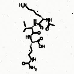 CC(=O)N[C@@H](CCCCN)C(=O)N[C@H](C(=O)N[C@@H](CCCNC(N)=O)C(=O)O)C(C)C